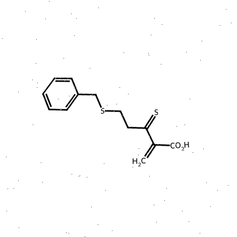 C=C(C(=O)O)C(=S)CCSCc1ccccc1